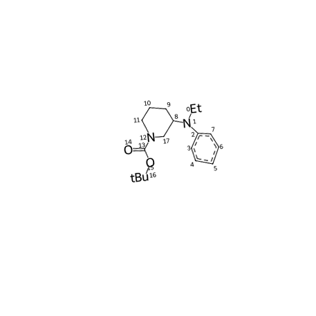 CCN(c1ccccc1)C1CCCN(C(=O)OC(C)(C)C)C1